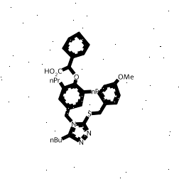 CCCCc1nnc(SCc2ccc(OC)cc2)n1Cc1cc(CCC)c(OC(C(=O)O)c2ccccc2)c(CCC)c1